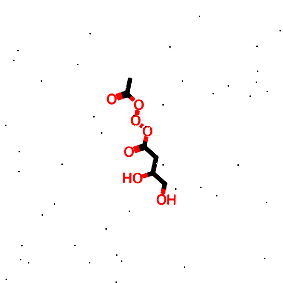 CC(=O)OOOC(=O)CC(O)CO